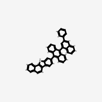 c1ccc(-c2cc(-c3c4ccccc4c(-c4ccc5c(c4)oc4c6ccccc6ccc54)c4ccccc34)c3ccccc3c2)cc1